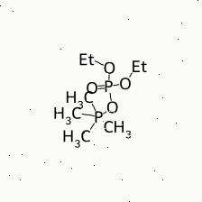 CCOP(=O)(OCC)OP(C)(C)(C)C